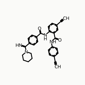 C#Cc1ccc(NC(=O)c2cc(C#C)ccc2NC(=O)c2ccc(C(=N)N3CCCCC3)cc2)cc1